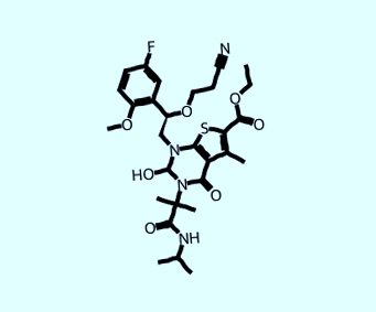 CCOC(=O)c1sc2c(c1C)C(=O)N(C(C)(C)C(=O)NC(C)C)C(O)N2C[C@H](OCCC#N)c1cc(F)ccc1OC